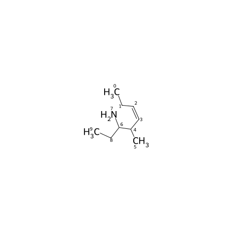 CC/C=C\C(C)C(N)CC